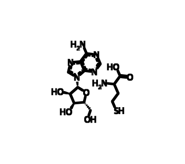 NC(CCS)C(=O)O.Nc1ncnc2c1ncn2[C@@H]1O[C@H](CO)[C@@H](O)[C@H]1O